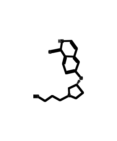 O=c1[nH]ccc2cc(O[C@@H]3CCN(CCCO)C3)ccc12